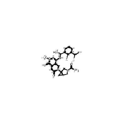 CC(=O)N1CC2CC2(n2cc3c(NC(C)c4cccc(C(F)F)c4F)nn(C)c(=O)c3cc2=O)C1